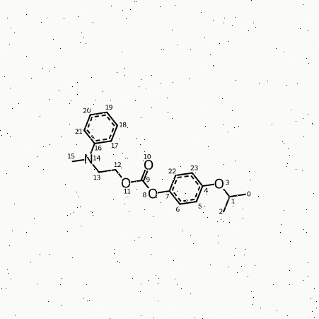 CC(C)Oc1ccc(OC(=O)OCCN(C)c2ccccc2)cc1